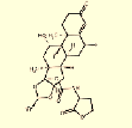 CCC[C@@H]1O[C@@H]2C[C@H]3[C@@H]4C[C@H](F)C5=CC(=O)CC[C@]5(C)[C@@]4(F)[C@@H](O)C[C@]3(C)[C@]2(OC(=O)NC2CCOC2=O)O1